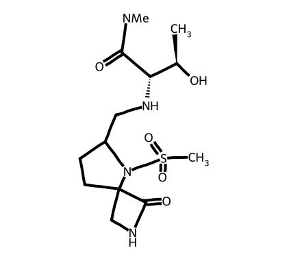 CNC(=O)[C@@H](NCC1CCC2(CNC2=O)N1S(C)(=O)=O)[C@@H](C)O